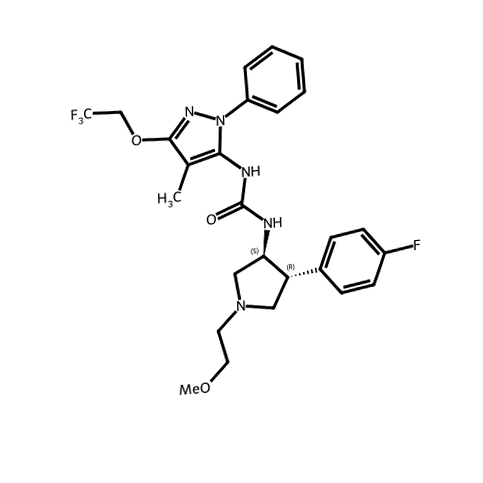 COCCN1C[C@@H](NC(=O)Nc2c(C)c(OCC(F)(F)F)nn2-c2ccccc2)[C@H](c2ccc(F)cc2)C1